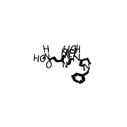 Cl.Cl.O=C(C=Cc1cnc(N[C@@H]2CCN(Cc3ccccc3)C2)cn1)NO